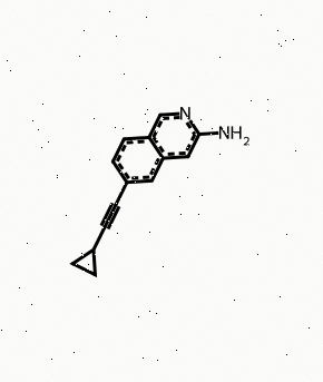 Nc1cc2cc(C#CC3CC3)ccc2cn1